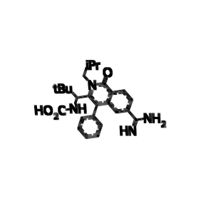 CC(C)Cn1c(C(NC(=O)O)C(C)(C)C)c(-c2ccccc2)c2cc(C(=N)N)ccc2c1=O